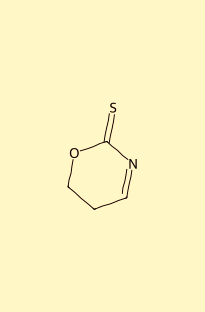 S=C1N=CCCO1